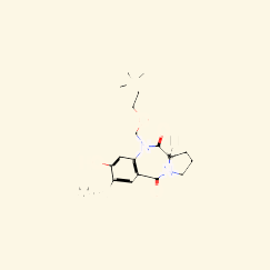 COc1cc2c(cc1O)N(COCC[Si](C)(C)C)C(=O)[C@@H]1CCCN1C2=O